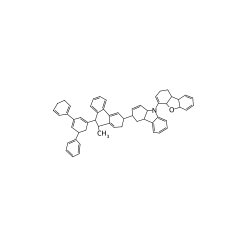 CC1C2=CCC(C3C=CC4C(C3)c3ccccc3N4C3=CCCC4C3OC3C=CC=CC34)C=C2c2ccccc2C1C1=CC(C2=CCCC=C2)=CC(c2ccccc2)C1